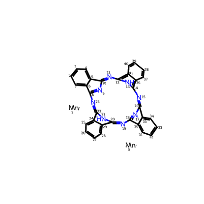 [Mn].[Mn].c1ccc2c(c1)-c1nc-2nc2[nH]c(nc3nc(nc4[nH]c(n1)c1ccccc41)-c1ccccc1-3)c1ccccc21